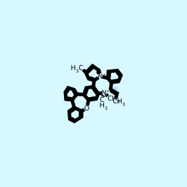 C/C=C1/c2ccccc2-[n+]2ccc(C)cc2-c2cc3c(cc2[N+]1(C)C)Oc1ccccc1-c1ccccc1-3